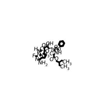 CCC(CC)COC(=O)[C@H](C)N[P@](=O)(OC[C@H]1O[C@@](C#N)(c2ccc3c(N)nc(F)nn23)[C@](C)(O)[C@@H]1O)Oc1ccccc1